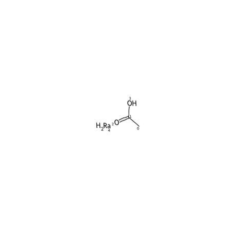 CC(=O)O.[RaH2]